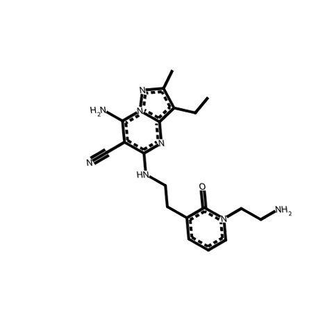 CCc1c(C)nn2c(N)c(C#N)c(NCCc3cccn(CCN)c3=O)nc12